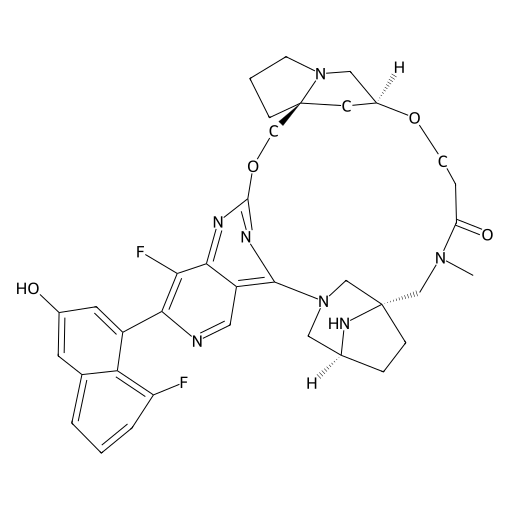 CN1C[C@@]23CC[C@@H](CN(C2)c2nc(nc4c(F)c(-c5cc(O)cc6cccc(F)c56)ncc24)OC[C@@]24CCCN2C[C@H](C4)OCCC1=O)N3